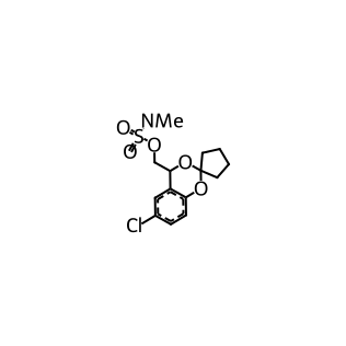 CNS(=O)(=O)OCC1OC2(CCCC2)Oc2ccc(Cl)cc21